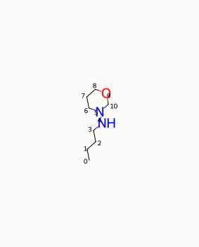 CCCCNN1CCCOC1